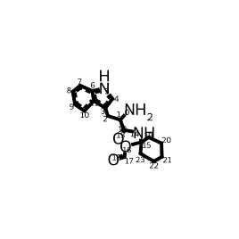 NC(Cc1c[nH]c2ccccc12)C(=O)NC1(OC=O)CCCCC1